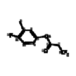 Cc1cc(OC(=O)CC(F)(F)F)ccc1F